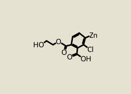 O=C(OCCO)c1cc[c]([Zn])c(Cl)c1C(=O)O